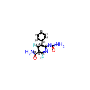 NC(=O)Nc1nc(F)c(C(N)=O)c(F)c1-c1ccccc1